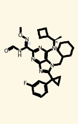 CO/N=C(\NC=O)c1nc(N[C@H](C)C2CCC2)c2c(n1)nc(C1(c3cccc(F)c3)CC1)n2CC1CCCCC1